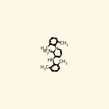 Cc1cccc(C)c1NC1=CC=CN(c2c(C)cccc2C)C1N